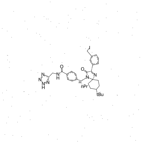 CCC[C@H](c1ccc(C(=O)NCc2nn[nH]n2)cc1)N1C(=O)C(c2cccc(CI)c2)=NC12CCC(C(C)(C)C)CC2